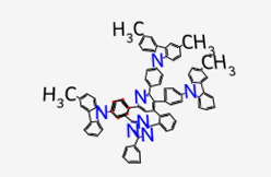 Cc1ccc2c(c1)c1ccccc1n2-c1ccc(-c2cc(-c3ccccc3-c3nc(-c4ccccc4)nc(-c4ccccc4)n3)c(-c3ccc(-n4c5ccccc5c5cc(C)ccc54)cc3)c(-c3ccc(-n4c5ccc(C)cc5c5cc(C)ccc54)cc3)n2)cc1